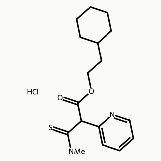 CNC(=S)C(C(=O)OCCC1CCCCC1)c1ccccn1.Cl